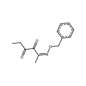 CCC(=O)C(=O)C(C)=NOCc1ccccc1